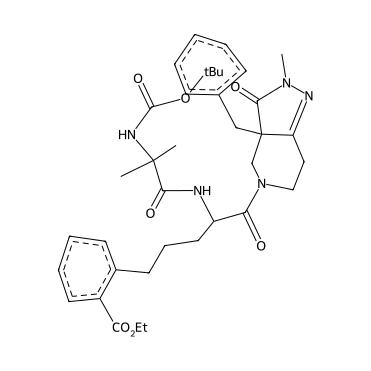 CCOC(=O)c1ccccc1CCCC(NC(=O)C(C)(C)NC(=O)OC(C)(C)C)C(=O)N1CCC2=NN(C)C(=O)C2(Cc2ccccc2)C1